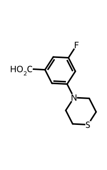 O=C(O)c1cc(F)cc(N2CCSCC2)c1